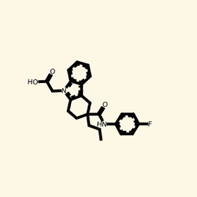 CCCC1(C(=O)Nc2ccc(F)cc2)CCc2c(c3ccccc3n2CC(=O)O)C1